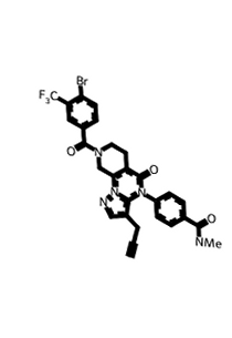 C#CCc1cnn2c3c(c(=O)n(-c4ccc(C(=O)NC)cc4)c12)CCN(C(=O)c1ccc(Br)c(C(F)(F)F)c1)C3